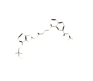 Cc1nc(-c2ccc3ccnc(NCCC(=O)Nc4nc5ccnc(OCC(C)(F)F)c5s4)c3c2)no1